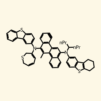 CCCC(CCC)N(c1ccc2sc3c(c2c1)CCCC3)c1cc2c3c#cccc3c(N(C3=CC=CCSC3)c3ccc4sc5ccccc5c4c3)c(C)c2c2ccccc12